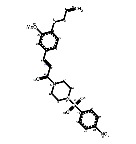 C=CCOc1ccc(/C=C/C(=O)N2CCN(S(=O)(=O)c3ccc([N+](=O)[O-])cc3)CC2)cc1OC